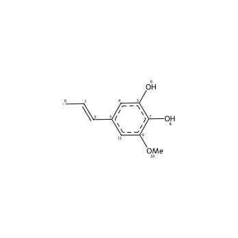 [CH2]C=Cc1cc(O)c(O)c(OC)c1